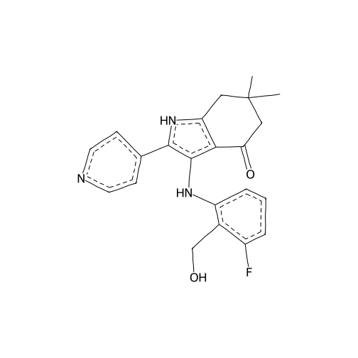 CC1(C)CC(=O)c2c([nH]c(-c3ccncc3)c2Nc2cccc(F)c2CO)C1